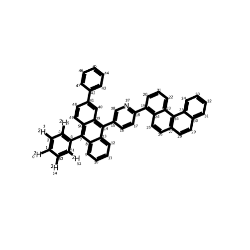 [2H]c1c([2H])c([2H])c(-c2c3ccccc3c(-c3ccc(-c4cccc5c4ccc4ccc6ccccc6c45)nc3)c3cc(-c4ccccc4)ccc23)c([2H])c1[2H]